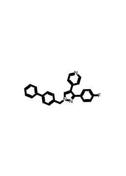 Fc1ccc(-c2nn(Cc3ccc(-c4ccccc4)cc3)cc2-c2ccncc2)cc1